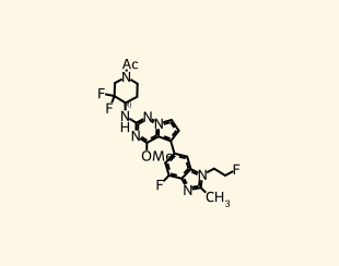 COc1nc(N[C@@H]2CCN(C(C)=O)CC2(F)F)nn2ccc(-c3cc(F)c4nc(C)n(CCF)c4c3)c12